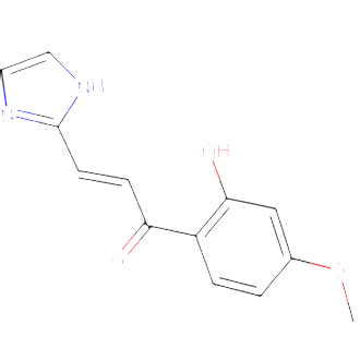 COc1ccc(C(=O)C=Cc2ncc[nH]2)c(O)c1